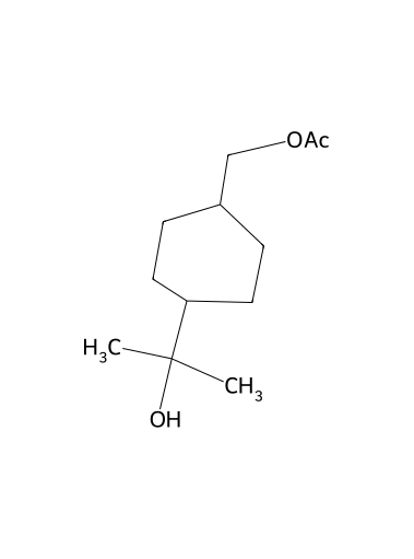 CC(=O)OCC1CCC(C(C)(C)O)CC1